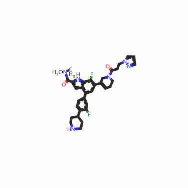 CN(C)C(=O)c1cc2c(-c3ccc(C4CCNCC4)c(F)c3)cc(C3=CCCN(C(=O)CCn4cccn4)C3)c(F)c2[nH]1